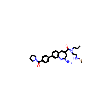 CCCN(CCNSC)C(=O)C1=Cc2ccc(-c3ccc(C(=O)N4CCCC4)cc3)cc2N=C(N)C1